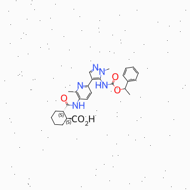 Cc1nc(-c2cnn(C)c2NC(=O)OC(C)c2ccccc2)ccc1NC(=O)[C@H]1CCCC[C@@H]1C(=O)O